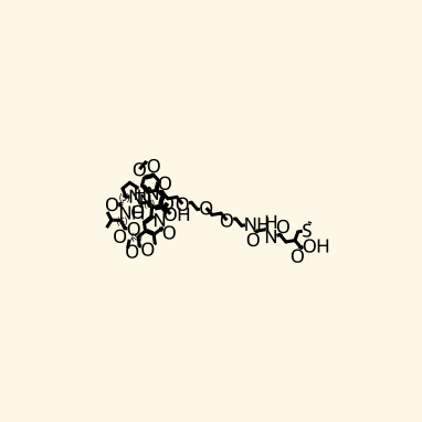 CC[C@@]1(OC(=O)[C@@H](NC(=O)[C@@H]2CCCN2C(=O)[C@H](CC(=O)O)NC(=O)CCOCCOCCOCCNC(=O)CNC(=O)CC(CSC)C(=O)O)C(C)C)C(=O)OCc2c1cc1n(c2=O)Cc2cc3cc4c(cc3nc2-1)OCO4